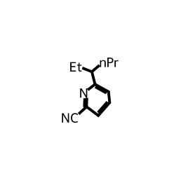 CCCC(CC)c1cccc(C#N)n1